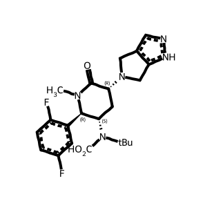 CN1C(=O)[C@H](N2Cc3cn[nH]c3C2)C[C@H](N(C(=O)O)C(C)(C)C)[C@H]1c1cc(F)ccc1F